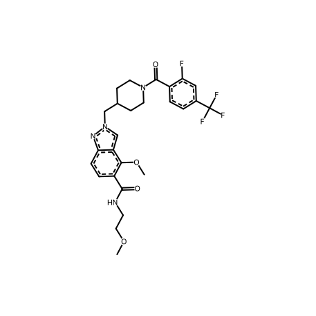 COCCNC(=O)c1ccc2nn(CC3CCN(C(=O)c4ccc(C(F)(F)F)cc4F)CC3)cc2c1OC